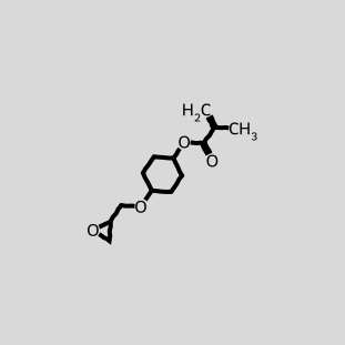 C=C(C)C(=O)OC1CCC(OCC2CO2)CC1